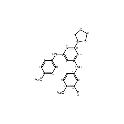 COc1ccc(Nc2cc(Nc3ccc(OC)c(F)c3)nc(N3CCCC3)n2)cc1